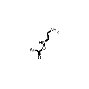 NCCNO[C](=O)[Au]